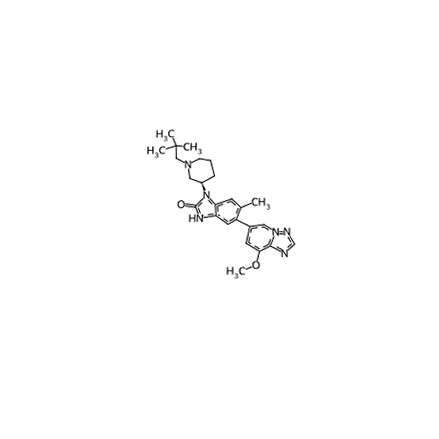 COc1cc(-c2cc3[nH]c(=O)n([C@@H]4CCCN(CC(C)(C)C)C4)c3cc2C)cn2ncnc12